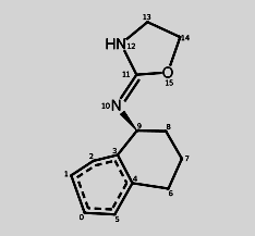 c1ccc2c(c1)CCC[C@@H]2N=C1NCCO1